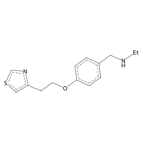 CCNCc1ccc(OCCc2cscn2)cc1